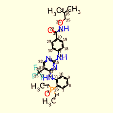 CCP(=O)(CC)c1ccccc1Nc1nc(Nc2ccc(C(=O)NOCC(C)C)cc2)ncc1C(F)(F)F